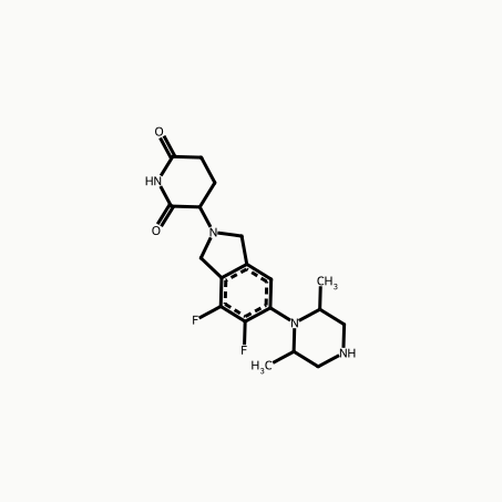 CC1CNCC(C)N1c1cc2c(c(F)c1F)CN(C1CCC(=O)NC1=O)C2